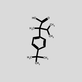 CC(C)C(C)(C(=O)O)c1ccc(C(C)(C)C)cc1